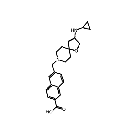 O=C(O)c1ccc2cc(CN3CCC4(CC3)CC(NC3CC3)CO4)ccc2c1